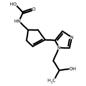 CC(O)Cn1cncc1C1=CCC(NC(=O)O)C1